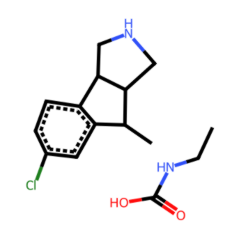 CC1c2cc(Cl)ccc2C2CNCC12.CCNC(=O)O